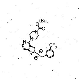 CC(C)(C)OC(=O)N1CCN(c2nccc3sc(S(=O)(=O)Cc4cccc(C(F)(F)F)c4)cc23)CC1